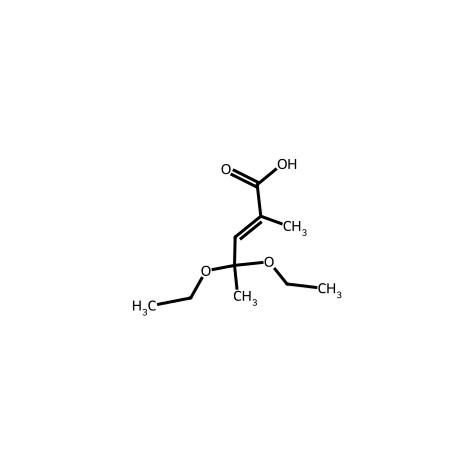 CCOC(C)(/C=C(\C)C(=O)O)OCC